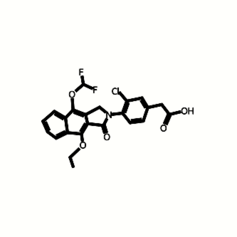 CCOc1c2c(c(OC(F)F)c3ccccc13)CN(c1ccc(CC(=O)O)cc1Cl)C2=O